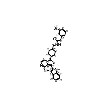 Nc1nccn2c(C3CCC(CNC(=O)Cc4cccc(Br)c4)CC3)nc(-c3cc4ccccc4[nH]3)c12